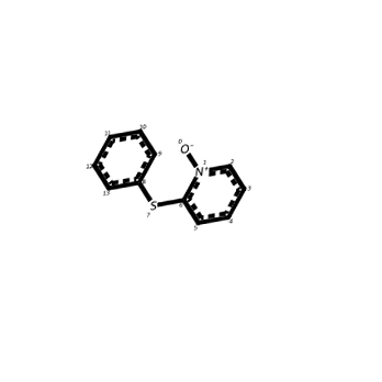 [O-][n+]1ccccc1Sc1ccccc1